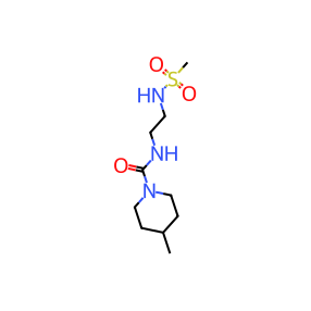 CC1CCN(C(=O)NCCNS(C)(=O)=O)CC1